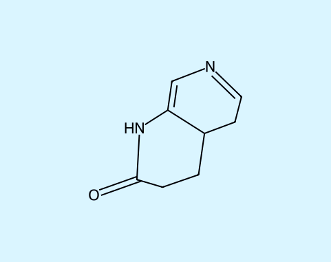 O=C1CCC2CC=NC=C2N1